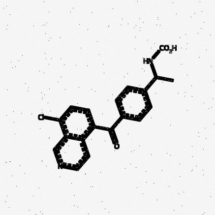 CC(NC(=O)O)c1ccc(C(=O)c2ccc(Cl)c3cnccc23)cc1